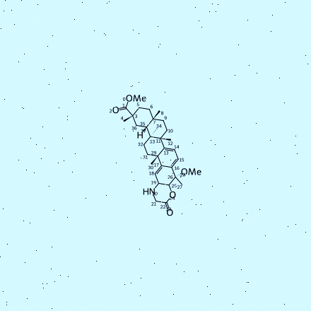 COC(=O)[C@]1(C)CC[C@]2(C)CC[C@]3(C)C4=CC=C5C(=CC6NCC(=O)OC6[C@@]5(C)OC)[C@]4(C)CC[C@@]3(C)[C@@H]2C1